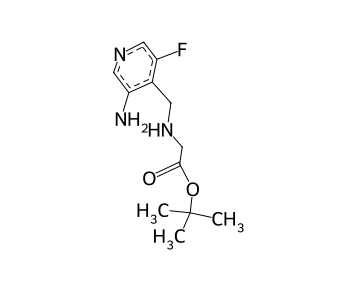 CC(C)(C)OC(=O)CNCc1c(N)cncc1F